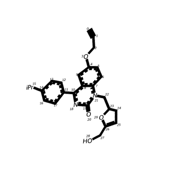 C#CCOc1ccc2c(c1)c(-c1ccc(C(C)C)cc1)nc(=O)n2CC1CC=C(CO)O1